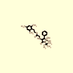 Cc1cc(C)c(CCOC(=O)CNC2=C(c3ccccc3)S(O)(O)N(C(C)(C)C)C2=O)c(C)c1